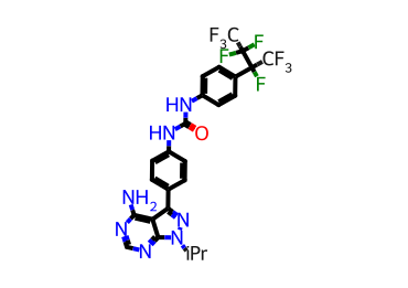 CC(C)n1nc(-c2ccc(NC(=O)Nc3ccc(C(F)(C(F)(F)F)C(F)(F)C(F)(F)F)cc3)cc2)c2c(N)ncnc21